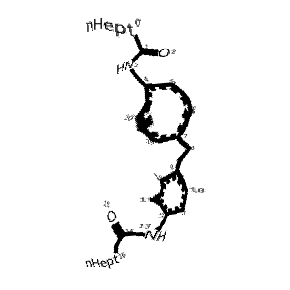 CCCCCCCC(=O)Nc1ccc(Cc2ccc(NC(=O)CCCCCCC)cc2)cc1